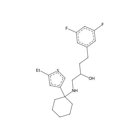 CCc1cc(C2(NCC(O)CCc3cc(F)cc(F)c3)CCCCC2)cs1